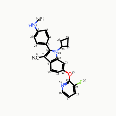 CC(C)Nc1ccc(-c2c(C#N)c3ccc(Oc4ncccc4F)cc3n2C2CCC2)cc1